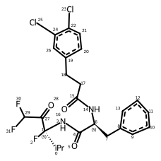 CC(C)[C@@](F)(NC(=O)[C@H](Cc1ccccc1)NC(=O)CCc1ccc(Cl)c(Cl)c1)C(=O)C(F)F